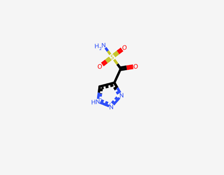 NS(=O)(=O)C(=O)c1c[nH]nn1